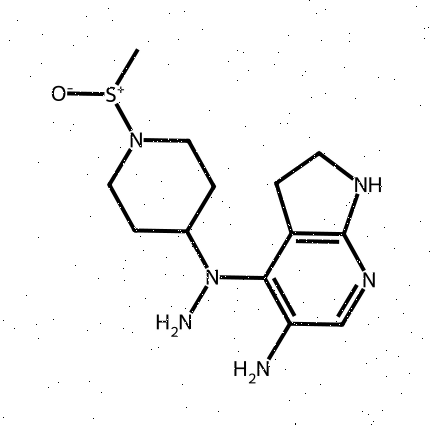 C[S+]([O-])N1CCC(N(N)c2c(N)cnc3c2CCN3)CC1